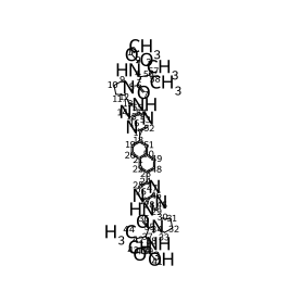 COC(=O)N[C@H](C(=O)N1CCC[C@@H]1c1nc2nc(-c3ccc4cc(-c5cnc6[nH]c([C@@H]7CCCN7C(=O)[C@@H](NC(=O)O)C(C)C)nc6n5)ccc4c3)cnc2[nH]1)C(C)C